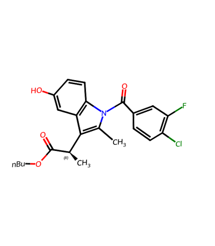 CCCCOC(=O)[C@H](C)c1c(C)n(C(=O)c2ccc(Cl)c(F)c2)c2ccc(O)cc12